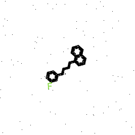 Fc1cccc([CH]CCCc2cccc3ccccc23)c1